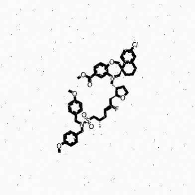 COC(=O)c1ccc2c(c1)N(C[C@@H]1CCO[C@H]1C/C(F)=C/C[C@H](C)CS(=O)(=O)N(Cc1ccc(OC)cc1)Cc1ccc(OC)cc1)C[C@@]1(CCCc3cc(Cl)ccc31)CO2